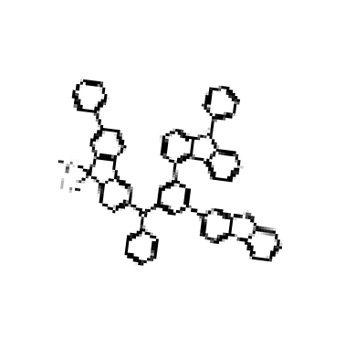 CC1(C)c2ccc(N(c3ccccc3)c3cc(-c4ccc5c(c4)sc4ccccc45)cc(-c4cccc5c4c4ccccc4n5-c4ccccc4)c3)cc2-c2ccc(-c3ccccc3)cc21